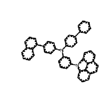 c1ccc(-c2ccc(N(c3ccc(-c4cccc5ccccc45)cc3)c3cccc(-n4c5cccc6ccc7cccc4c7c65)c3)cc2)cc1